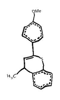 COc1ccc(C2=CC(C)c3ccccc3S2)cc1